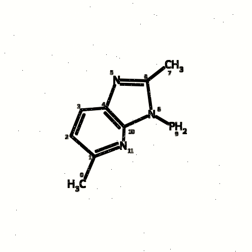 Cc1ccc2nc(C)n(P)c2n1